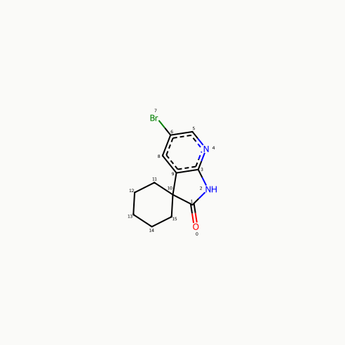 O=C1Nc2ncc(Br)cc2C12CCCCC2